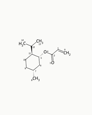 C=CC(=O)O[C@@H]1C[C@H](C)CC[C@H]1C(C)C